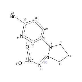 O=[N+]([O-])/N=C1/CCCN1c1ccc(Br)nc1